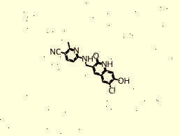 Cc1nc(NCc2cc3cc(Cl)c(O)cc3[nH]c2=O)ccc1C#N